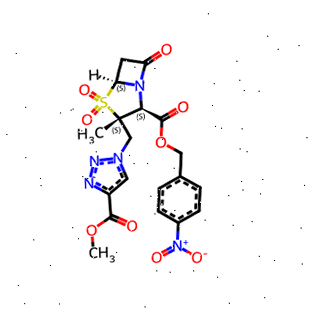 COC(=O)c1cn(C[C@@]2(C)[C@H](C(=O)OCc3ccc([N+](=O)[O-])cc3)N3C(=O)C[C@@H]3S2(=O)=O)nn1